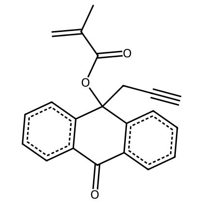 C#CCC1(OC(=O)C(=C)C)c2ccccc2C(=O)c2ccccc21